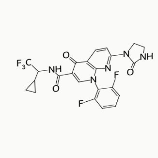 O=C(NC(C1CC1)C(F)(F)F)c1cn(-c2c(F)cccc2F)c2nc(N3CCNC3=O)ccc2c1=O